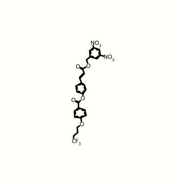 O=C(/C=C/c1ccc(OC(=O)c2ccc(OCCCC(F)(F)F)cc2)cc1)OCc1cc([N+](=O)[O-])cc([N+](=O)[O-])c1